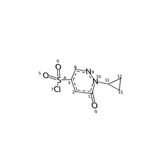 O=c1cc(S(=O)(=O)Cl)cnn1C1CC1